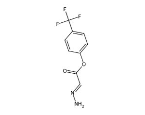 NN=CC(=O)Oc1ccc(C(F)(F)F)cc1